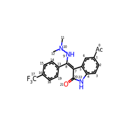 CC(=O)c1ccc2c(c1)C(=C(NN(C)C)c1ccc(C(F)(F)F)cc1)C(=O)N2